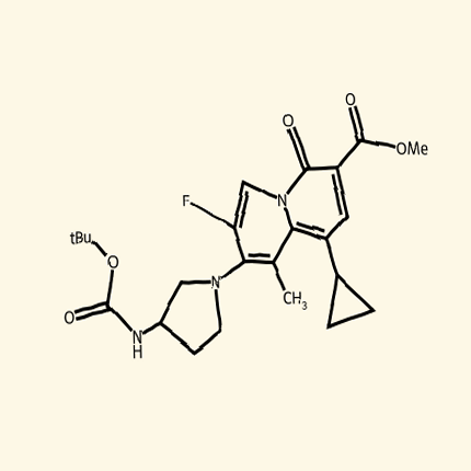 COC(=O)c1cc(C2CC2)c2c(C)c(N3CCC(NC(=O)OC(C)(C)C)C3)c(F)cn2c1=O